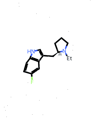 CCN1CCC[C@@H]1Cc1c[nH]c2ccc(F)cc12